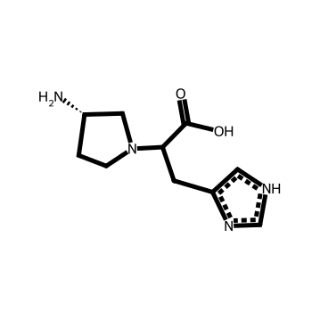 N[C@H]1CCN(C(Cc2c[nH]cn2)C(=O)O)C1